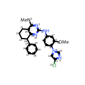 CNc1nc(Nc2ccc(-n3cnc(Cl)c3)c(OC)c2)nc2c1CCCC2c1ccccc1